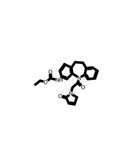 CCOC(=O)Nc1ccc2c(c1)N(C(=O)CN1CC=CC1=O)c1ccccc1CC2